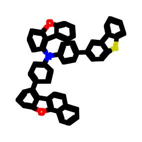 c1ccc2c(c1)ccc1c2oc2cccc(-c3ccc(N(c4ccc(-c5ccc6sc7ccccc7c6c5)cc4)c4cccc5oc6ccccc6c45)cc3)c21